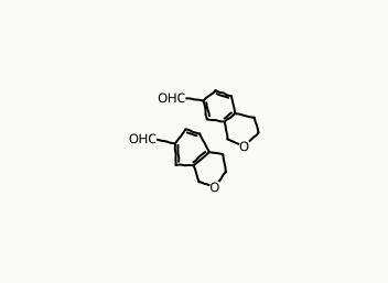 O=Cc1ccc2c(c1)COCC2.O=Cc1ccc2c(c1)COCC2